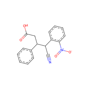 N#CC(c1ccccc1[N+](=O)[O-])C(CC(=O)O)c1ccccc1